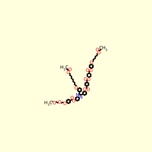 C=CC(=O)OCCCCCCCCCOc1cccc(-c2nc3cc(OC(=O)c4ccc(OCCOCCOCC)cc4)ccc3nc2-c2cccc(OC(=O)c3ccc(C(=O)OC4CCC(C(=O)Oc5ccc(OCCCCCCOC(=O)C=C)cc5)CC4)cc3)c2)c1